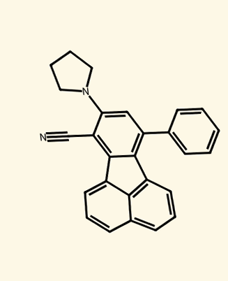 N#Cc1c(N2CCCC2)cc(-c2ccccc2)c2c1-c1cccc3cccc-2c13